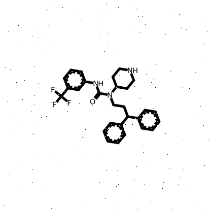 O=C(Nc1cccc(C(F)(F)F)c1)N(CCC(c1ccccc1)c1ccccc1)C1CCNCC1